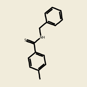 Cc1ccc(C(=S)NCc2ccccc2)cc1